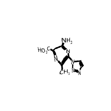 Cc1nc(C(=O)O)c(N)nc1-n1ccnn1